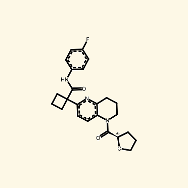 O=C([C@H]1CCCO1)N1CCCc2nc(C3(C(=O)Nc4ccc(F)cc4)CCC3)ccc21